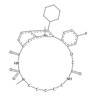 CN1CCCCCNC(=O)COc2cc(F)ccc2-c2c(C3CCCCC3)c3ccc(cc3n2C)C(=O)NS1(=O)=O